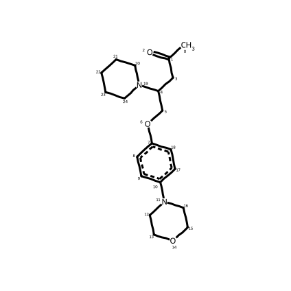 CC(=O)CC(COc1ccc(N2CCOCC2)cc1)N1CCCCC1